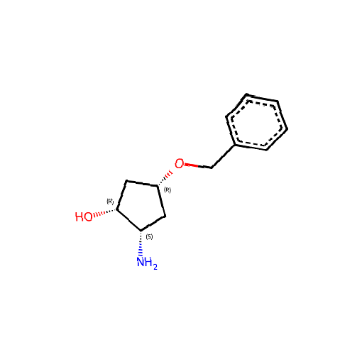 N[C@H]1C[C@@H](OCc2ccccc2)C[C@H]1O